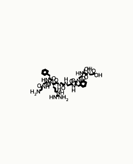 N=C(N)NCCC[C@H](NC(=O)[C@H](Cc1ccccc1)NC(=O)CNC(=O)CN)C(=O)NCC(=O)NCC(=O)N[C@@H](Cc1ccccc1)C(=O)NCC(=O)N[C@@H](CO)C(=O)NCC(=O)O